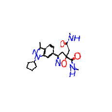 CNC(=O)CC1(C(=O)NC)CC(c2ccc3c(C)nn(C4CCCC4)c3c2)=NO1